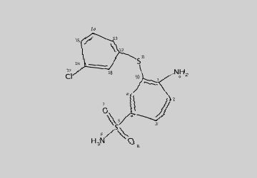 Nc1ccc(S(N)(=O)=O)cc1Sc1cccc(Cl)c1